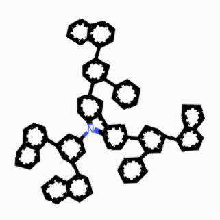 c1ccc(-c2cc(-c3cccc4ccccc34)ccc2-c2ccc3c(c2)c2cc(-c4ccc(-c5cccc6ccccc56)cc4-c4ccccc4)ccc2n3-c2cc(-c3cccc4ccccc34)cc(-c3cccc4ccccc34)c2)cc1